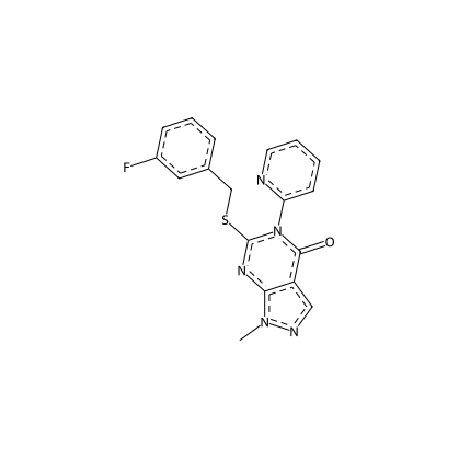 Cn1ncc2c(=O)n(-c3ccccn3)c(SCc3cccc(F)c3)nc21